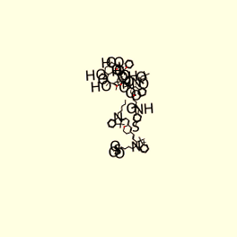 CCCCCN1/C(=C/C=C2\CCCC(/C=C/C3=[N+](CCCCS(=O)(=O)[O-])c4ccccc4C3(C)C)=C2Sc2ccc(NC(=O)CCC(=O)O[C@@H](C(=O)O[C@H]3C[C@@]4(O)[C@@H](OC(=O)c5ccccc5)[C@@H]5[C@]6(OC(C)=O)CO[C@@H]6C[C@H](O)[C@@]5(C)C(=O)[C@H](O)C(=C3C)C4(C)C)[C@@H](NC(=O)OC(C)(C)C)c3ccccc3)cc2)C(C)(C)c2ccccc21